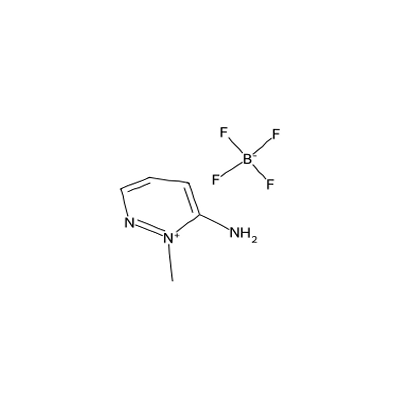 C[n+]1ncccc1N.F[B-](F)(F)F